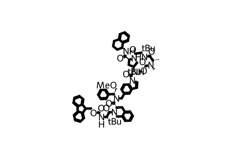 COC[C@@H](c1ccccc1)N(Cc1ccc2c(ccn2C(=O)N[C@H]2C[C@@H](C(=O)N[C@@H]3CCCc4ccccc43)N(C(=O)[C@@H](NC(=O)[C@H](C)N(C)C(=O)OC(C)(C)C)C(C)(C)C)C2)c1)C(=O)[C@@H]1Cc2ccccc2CN1C(=O)[C@@H](NC(=O)OCC1c2ccccc2-c2ccccc21)C(C)(C)C